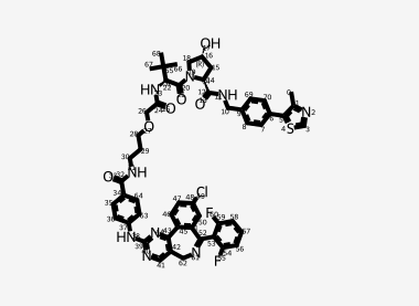 Cc1ncsc1-c1ccc(CNC(=O)[C@@H]2C[C@@H](O)CN2C(=O)[C@@H](NC(=O)COCCCNC(=O)c2ccc(Nc3ncc4c(n3)-c3ccc(Cl)cc3C(c3c(F)cccc3F)=NC4)cc2)C(C)(C)C)cc1